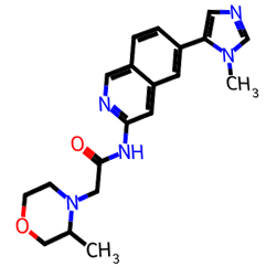 CC1COCCN1CC(=O)Nc1cc2cc(-c3cncn3C)ccc2cn1